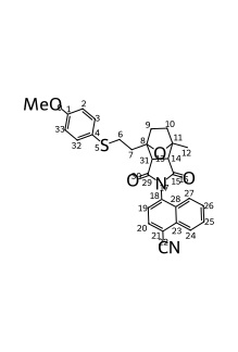 COc1ccc(SCCC23CCC(C)(O2)C2C(=O)N(c4ccc(C#N)c5ccccc45)C(=O)C23)cc1